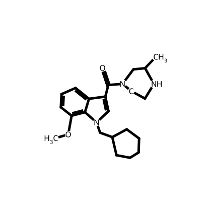 COc1cccc2c(C(=O)N3CCNC(C)C3)cn(CC3CCCCC3)c12